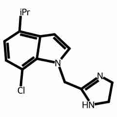 CC(C)c1ccc(Cl)c2c1ccn2CC1=NCCN1